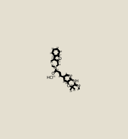 CN=C1Nc2ncc(C=CC(=O)N(C)Cc3oc4ccccc4c3C)cc2OC1(C)C.Cl